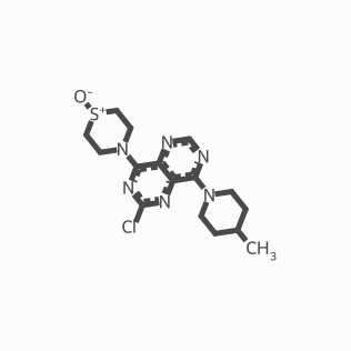 CC1CCN(c2ncnc3c(N4CC[S+]([O-])CC4)nc(Cl)nc23)CC1